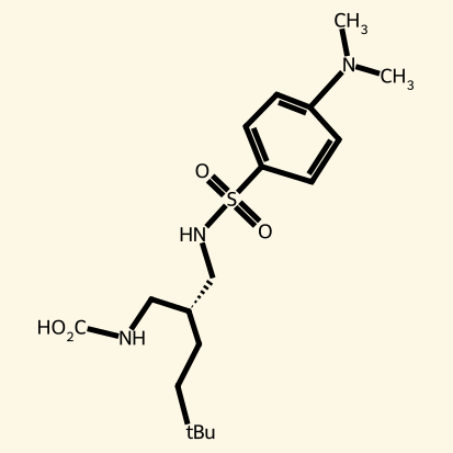 CN(C)c1ccc(S(=O)(=O)NC[C@H](CCC(C)(C)C)CNC(=O)O)cc1